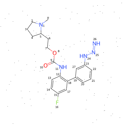 CN1CCCC1CCOC(=O)Nc1ccc(F)cc1-c1cccc(NN=N)c1